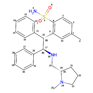 Cc1ccc(S(N)(=O)=O)c([C@@H](c2ccccc2)[C@@H](NC[C@@H]2CCCN2C)c2ccccc2)c1